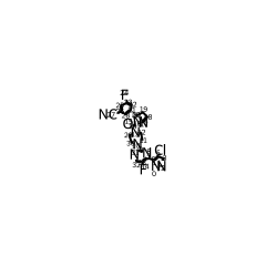 Cn1ncc(Cl)c1-c1nc(N2CCN(C(=O)N3N=CC[C@H]3c3cc(F)cc(C#N)c3)CC2)ncc1F